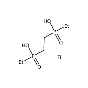 CCP(=O)(O)CCP(=O)(O)CC.[Ti]